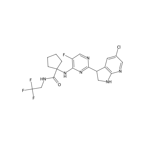 O=C(NCC(F)(F)F)C1(Nc2nc(C3CNc4ncc(Cl)cc43)ncc2F)CCCC1